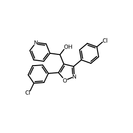 OC(c1cccnc1)c1c(-c2ccc(Cl)cc2)noc1-c1cccc(Cl)c1